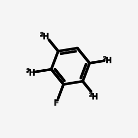 [2H]c1cc([2H])c([2H])c(F)c1[2H]